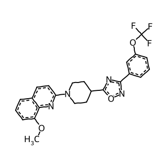 COc1cccc2ccc(N3CCC(c4nc(-c5cccc(OC(F)(F)F)c5)no4)CC3)nc12